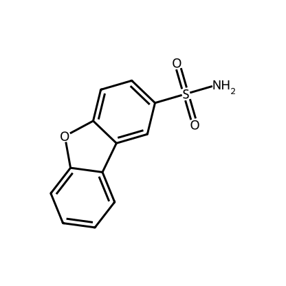 NS(=O)(=O)c1ccc2oc3ccccc3c2c1